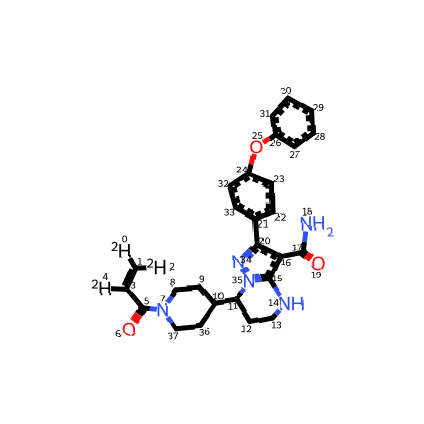 [2H]C([2H])=C([2H])C(=O)N1CCC(C2CCNc3c(C(N)=O)c(-c4ccc(Oc5ccccc5)cc4)nn32)CC1